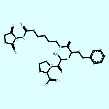 CC(NC(CCc1ccccc1)C(=O)OCCCCCC(=O)ON1C(=O)CCC1=O)C(=O)N1CCCC1C(=O)O